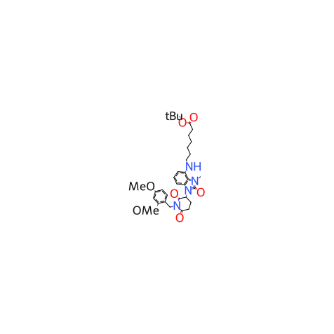 COc1ccc(CN2C(=O)CCC(n3c(=O)n(C)c4c(NCCCCCCC(=O)OC(C)(C)C)cccc43)C2=O)c(OC)c1